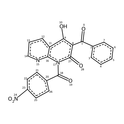 O=C(c1ccccc1)c1c(O)c2cccnc2n(C(=O)c2ccc([N+](=O)[O-])cc2)c1=O